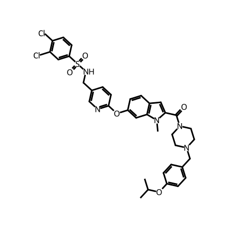 CC(C)Oc1ccc(CN2CCN(C(=O)c3cc4ccc(Oc5ccc(CNS(=O)(=O)c6ccc(Cl)c(Cl)c6)cn5)cc4n3C)CC2)cc1